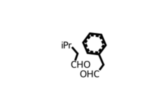 CC(C)CC=O.O=CCc1ccccc1